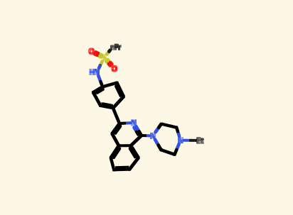 CCCS(=O)(=O)Nc1ccc(-c2cc3ccccc3c(N3CCN(CC)CC3)n2)cc1